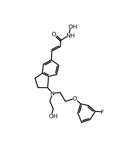 O=C(/C=C/c1ccc2c(c1)CCC2N(CCO)CCOc1cccc(F)c1)NO